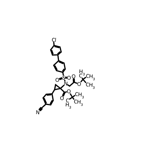 CC(C)(C)OC(=O)CN(C1(C(=O)OC(C)(C)C)CC1c1ccc(C#N)cc1)S(=O)(=O)c1ccc(-c2ccc(Cl)cc2)cc1